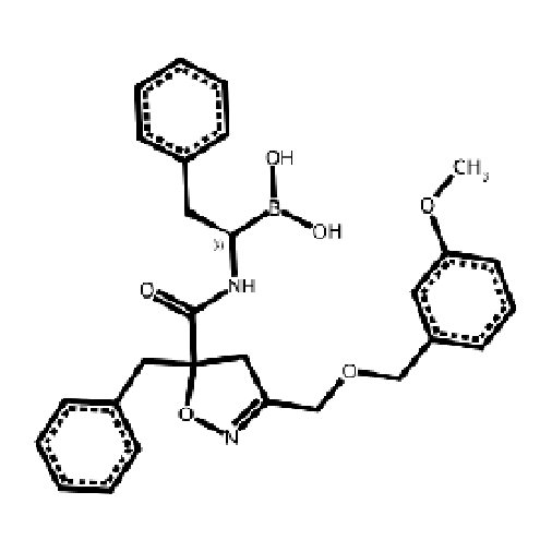 COc1cccc(COCC2=NOC(Cc3ccccc3)(C(=O)N[C@@H](Cc3ccccc3)B(O)O)C2)c1